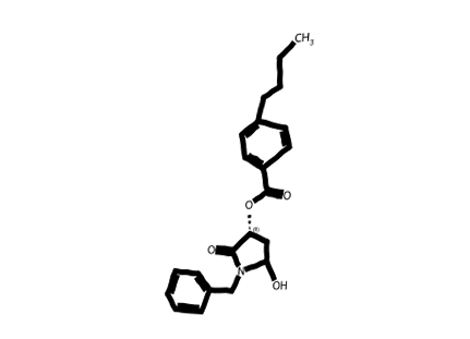 CCCCc1ccc(C(=O)O[C@@H]2CC(O)N(Cc3ccccc3)C2=O)cc1